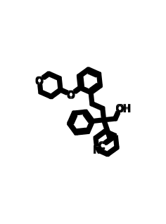 OCC(CCc1ccccc1OC1CCOCC1)(c1ccccc1)C1CN2CCC1CC2